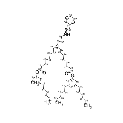 CCCCCCCCC(CC)OC(=O)CCCCCCCN(CCCCCCCC(=O)OC(CCCCCCCC)CCCCCCCC)CCCNSCC1COCCO1